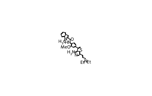 CCN(CC)CC=Cc1cnc(N)c2c(-c3ccc(NC(=O)c4cc5ccccc5n4C)c(OC)c3)csc12